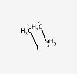 CI.C[SiH3]